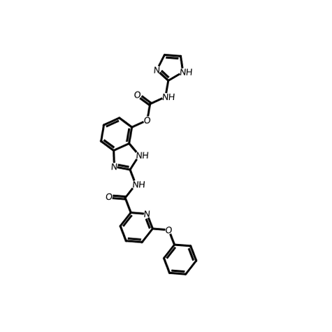 O=C(Nc1ncc[nH]1)Oc1cccc2nc(NC(=O)c3cccc(Oc4ccccc4)n3)[nH]c12